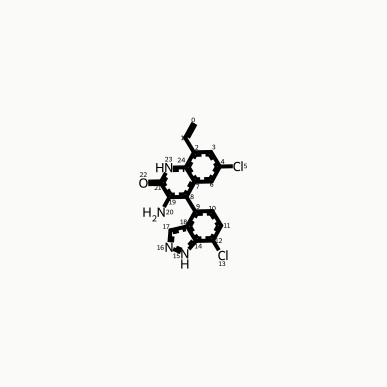 C=Cc1cc(Cl)cc2c(-c3ccc(Cl)c4[nH]ncc34)c(N)c(=O)[nH]c12